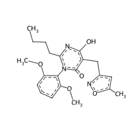 CCCCc1nc(O)c(Cc2cc(C)on2)c(=O)n1-c1c(OC)cccc1OC